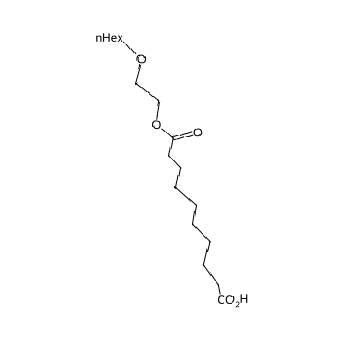 CCCCCCOCCOC(=O)CCCCCCCCC(=O)O